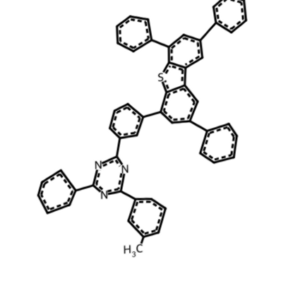 Cc1cccc(-c2nc(-c3ccccc3)nc(-c3cccc(-c4cc(-c5ccccc5)cc5c4sc4c(-c6ccccc6)cc(-c6ccccc6)cc45)c3)n2)c1